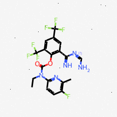 CCN(C(=O)Oc1c(C(=N)/N=C\N)cc(C(F)(F)F)cc1C(F)(F)F)c1ccc(F)c(C)n1